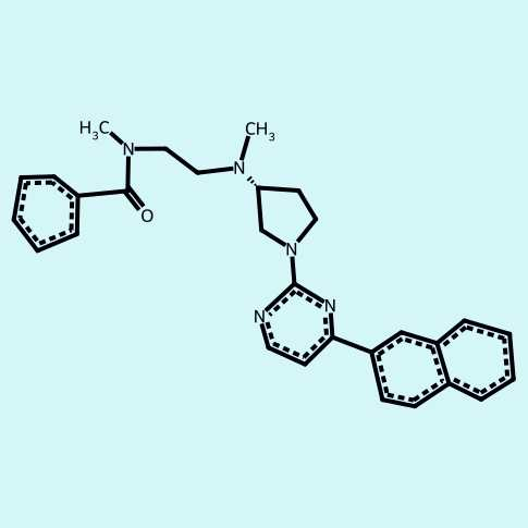 CN(CCN(C)[C@@H]1CCN(c2nccc(-c3ccc4ccccc4c3)n2)C1)C(=O)c1ccccc1